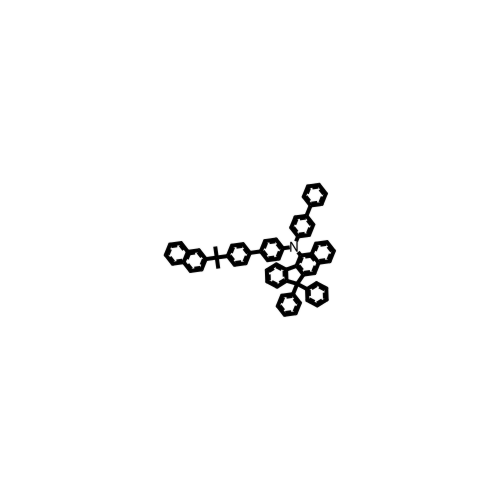 CC(C)(c1ccc(-c2ccc(N(c3ccc(-c4ccccc4)cc3)c3c4c(cc5ccccc35)C(c3ccccc3)(c3ccccc3)c3ccccc3-4)cc2)cc1)c1ccc2ccccc2c1